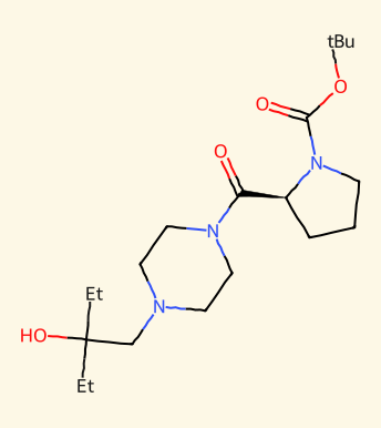 CCC(O)(CC)CN1CCN(C(=O)[C@@H]2CCCN2C(=O)OC(C)(C)C)CC1